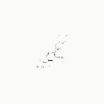 Nc1cc(S(N)(=O)=O)ccc1NCC1CCOCC1